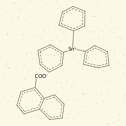 O=C([O-])c1cccc2ccccc12.c1cc[c]([Sn+]([c]2ccccc2)[c]2ccccc2)cc1